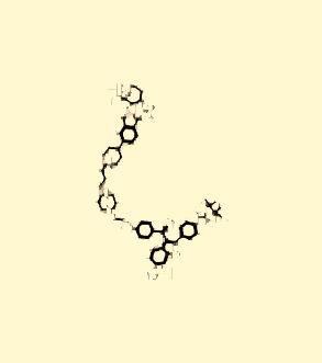 CC1(C)OB(c2ccc(-c3sc4cc(O)ccc4c3C(=O)c3ccc(OCCN4CCN(CCCN5CCC(c6ccc7c(c6)CN(C6C(=O)CCNC6=O)C7=O)CC5)CC4)cc3)cc2)OC1(C)C